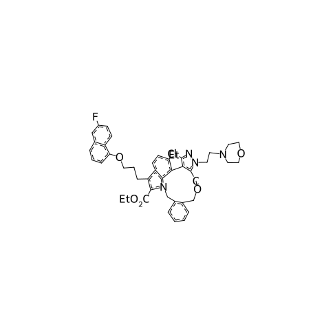 CCOC(=O)c1c(CCCOc2cccc3cc(F)ccc23)c2ccc(Cl)c3c2n1Cc1ccccc1COCc1c-3c(CC)nn1CCN1CCOCC1